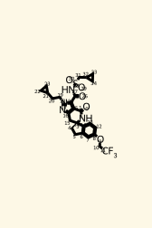 O=C1N[C@@]2(CCc3cc(OCC(F)(F)F)ccc32)Cc2nn(CCC3CC3)c(C(=O)NS(=O)(=O)CC3CC3)c21